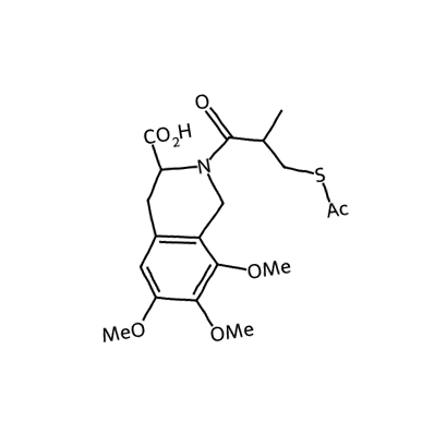 COc1cc2c(c(OC)c1OC)CN(C(=O)C(C)CSC(C)=O)C(C(=O)O)C2